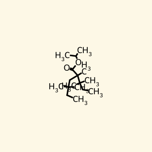 CCC(C)(C)CC(C)(C(=O)OC(C)C)C(C)(C)CC